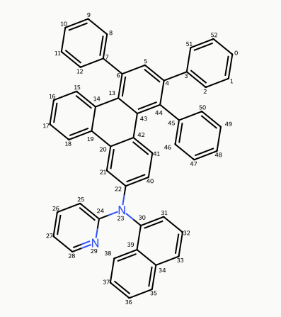 c1ccc(-c2cc(-c3ccccc3)c3c4ccccc4c4cc(N(c5ccccn5)c5cccc6ccccc56)ccc4c3c2-c2ccccc2)cc1